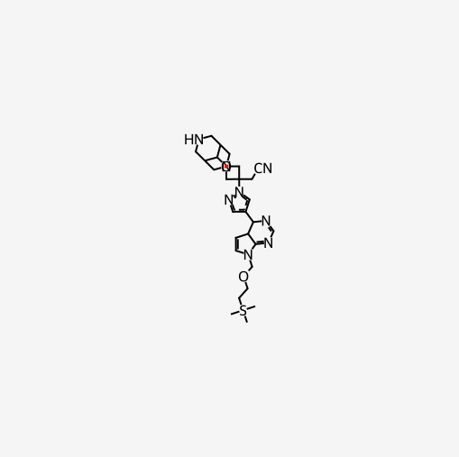 CS(C)(C)CCOCN1C=CC2C1=NC=NC2c1cnn(C2(CC#N)CN(C3C4CNCC3COC4)C2)c1